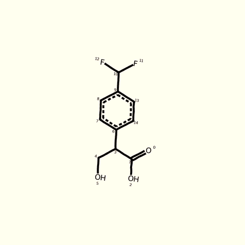 O=C(O)C(CO)c1ccc(C(F)F)cc1